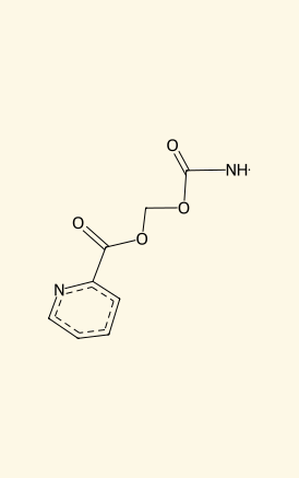 [NH]C(=O)OCOC(=O)c1ccccn1